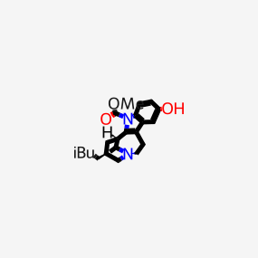 CCC(C)C[C@H]1C[C@H]2c3c(c4cc(O)ccc4n3C(=O)OC)CC[N@@](C1)C2C